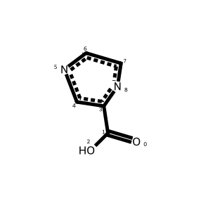 O=C(O)c1cn[c]cn1